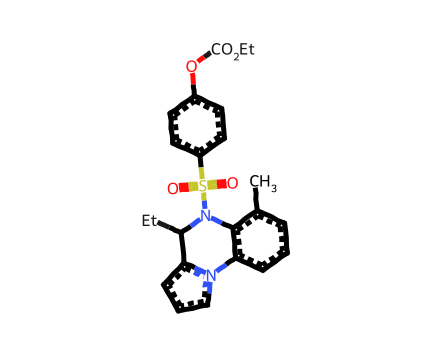 CCOC(=O)Oc1ccc(S(=O)(=O)N2c3c(C)cccc3-n3cccc3C2CC)cc1